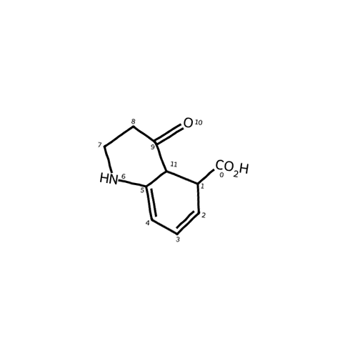 O=C(O)C1C=CC=C2NCCC(=O)C21